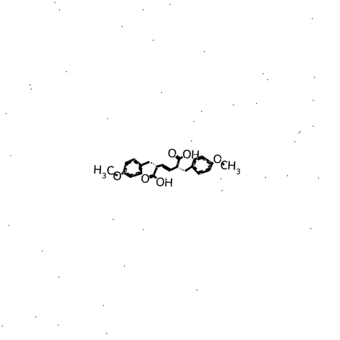 COc1ccc(C[C@H](C=C[C@@H](Cc2ccc(OC)cc2)C(=O)O)C(=O)O)cc1